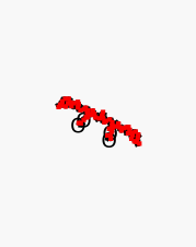 C=CC1(CCCOCC2(CC)COC2)c2cc(-c3ccc4c(c3)C(C)(C)c3cc(-c5ccc6ccc7cc(C(C)(C)C)cc8ccc5c6c78)ccc3-4)ccc2-c2ccc(-c3ccc4c(c3)C(CC)(CC)c3cc(-c5ccc6c(c5)C(C=C)(CCCOCC5(CC)COC5)c5cc(-c7ccc8c(c7)C(C)(C)c7cc(-c9ccc%10ccc%11cc(C(C)(C)C)cc%12ccc9c%10c%11%12)ccc7-8)ccc5-6)ccc3-4)cc21